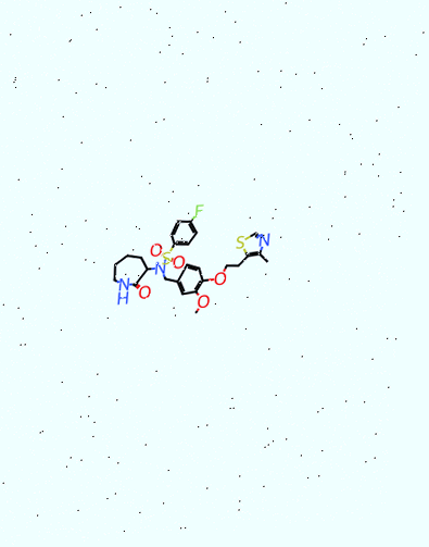 COc1cc(CN(C2CCCCNC2=O)S(=O)(=O)c2ccc(F)cc2)ccc1OCCc1scnc1C